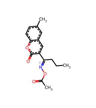 CCC/C(=N\OC(C)=O)c1cc2cc(C)ccc2oc1=O